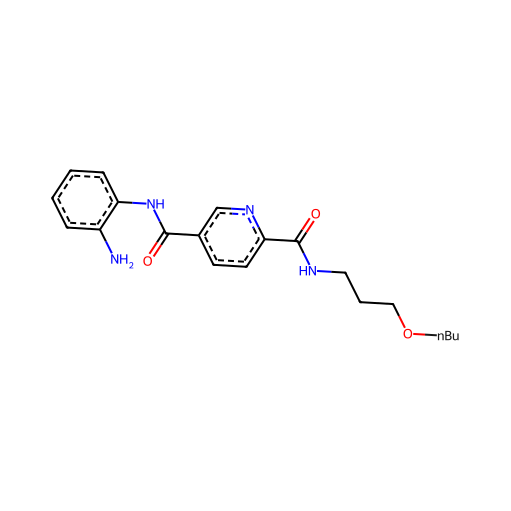 CCCCOCCCNC(=O)c1ccc(C(=O)Nc2ccccc2N)cn1